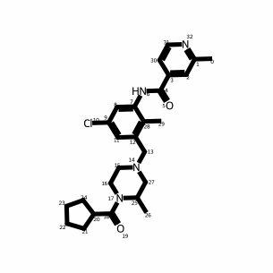 Cc1cc(C(=O)Nc2cc(Cl)cc(CN3CCN(C(=O)C4CCCC4)C(C)C3)c2C)ccn1